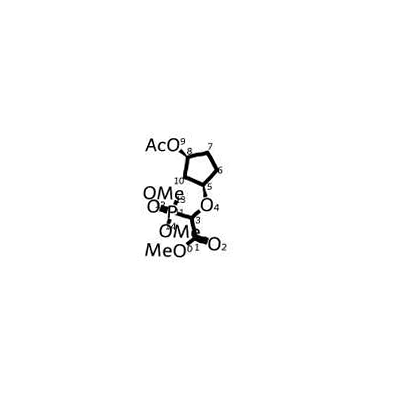 COC(=O)C(O[C@@H]1CC[C@H](OC(C)=O)C1)P(=O)(OC)OC